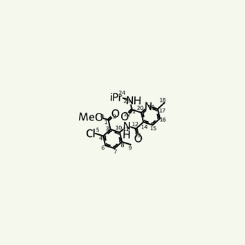 COC(=O)c1c(Cl)ccc(C)c1NC(=O)c1ccc(C)nc1C(=O)NC(C)C